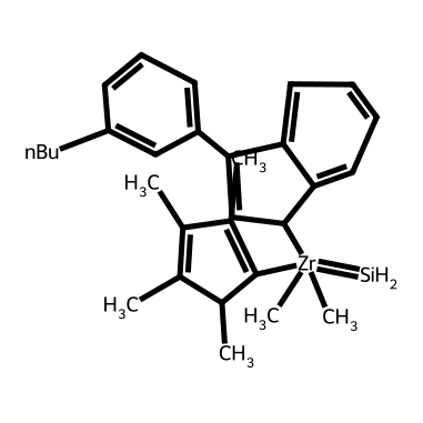 CCCCc1cccc(C2=C[CH]([Zr]([CH3])([CH3])(=[SiH2])[C]3=C(C)C(C)=C(C)C3C)c3ccccc32)c1